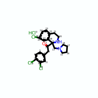 Cl.O=C(Cc1ccc(Cl)c(Cl)c1)C1(CN2CCCC2)NCCc2ccc(Cl)cc21